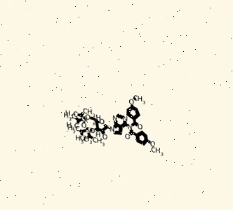 COc1ccc(C(=O)N(C(=O)c2ccc(OC)cc2)c2ncnc3c2ccn3[C@@H]2O[C@@H]3CO[Si](C(C)C)(C(C)C)O[Si](C(C)C)(C(C)C)O[C@H]3C2=O)cc1